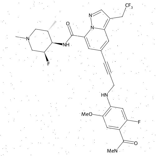 CNC(=O)c1cc(OC)c(NCC#Cc2cc(C(=O)N[C@@H]3[C@@H](C)CN(C)C[C@@H]3F)n3ncc(CC(F)(F)F)c3c2)cc1F